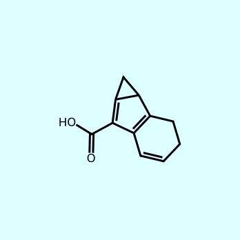 O=C(O)C1=C2CC2C2=C1C=CCC2